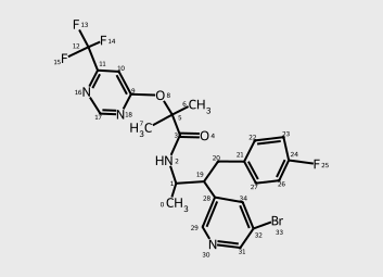 CC(NC(=O)C(C)(C)Oc1cc(C(F)(F)F)ncn1)C(Cc1ccc(F)cc1)c1cncc(Br)c1